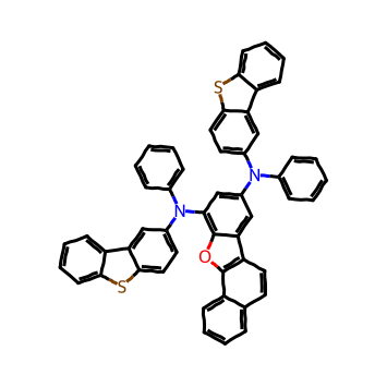 c1ccc(N(c2ccc3sc4ccccc4c3c2)c2cc(N(c3ccccc3)c3ccc4sc5ccccc5c4c3)c3oc4c5ccccc5ccc4c3c2)cc1